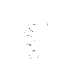 O=C(Nc1n[nH]c2nc(NC(=O)C3CC3)sc12)c1ccncc1